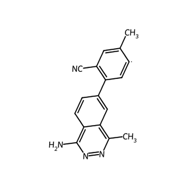 Cc1[c]cc(-c2ccc3c(N)nnc(C)c3c2)c(C#N)c1